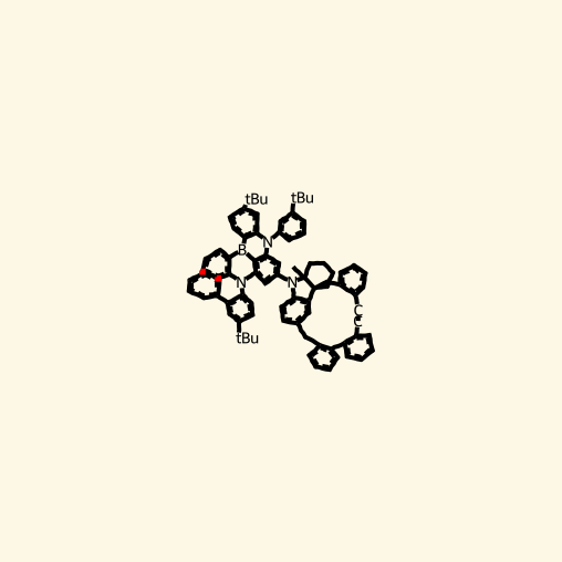 CC(C)(C)c1cccc(N2c3cc(C(C)(C)C)ccc3B3c4ccccc4N(c4ccc(C(C)(C)C)cc4-c4ccccc4)c4cc(N5c6ccc7cc6C6(CCCCC56C)Cc5ccccc5CCc5ccccc5-c5ccccc5C7)cc2c43)c1